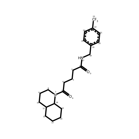 O=C(CCCC(=O)N1CCCC2CCCCC21)NCc1ccc(C(F)(F)F)cc1